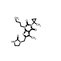 CCCCn1c(=O)n(C2(C)CC2)c(=O)c2c(C)c(CN3CCNC3=O)sc21